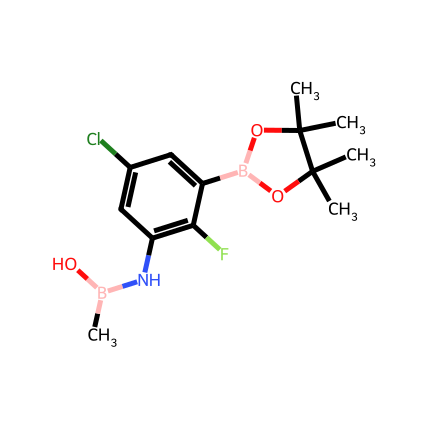 CB(O)Nc1cc(Cl)cc(B2OC(C)(C)C(C)(C)O2)c1F